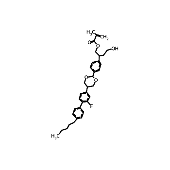 C=C(C)C(=O)OCC(CCO)c1ccc(C2OCC(c3ccc(-c4ccc(CCCCC)cc4)c(F)c3)CO2)cc1